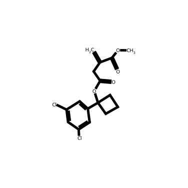 C=C(CC(=O)OC1(c2cc(Cl)cc(Cl)c2)CCC1)C(=O)OC